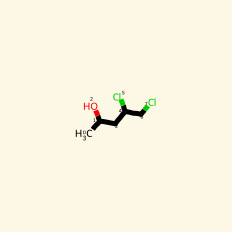 CC(O)CC(Cl)CCl